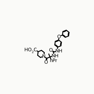 CCCC(C)(NC(=O)Nc1ccc(Oc2ccccc2)cc1)C(=O)N1CCC(C(=O)O)CC1